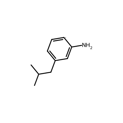 CC(C)Cc1cc[c]c(N)c1